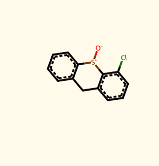 [O-][S+]1c2ccccc2Cc2cccc(Cl)c21